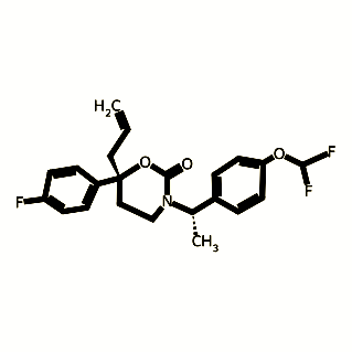 C=CC[C@]1(c2ccc(F)cc2)CCN([C@@H](C)c2ccc(OC(F)F)cc2)C(=O)O1